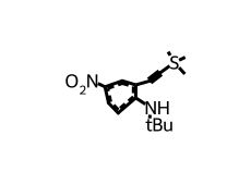 CC(C)(C)Nc1ccc([N+](=O)[O-])cc1C#CS(C)(C)C